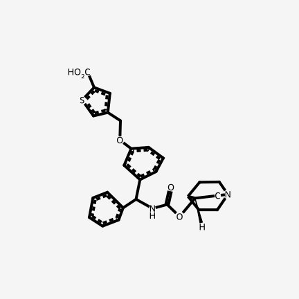 O=C(NC(c1ccccc1)c1cccc(OCc2csc(C(=O)O)c2)c1)O[C@H]1CN2CCC1CC2